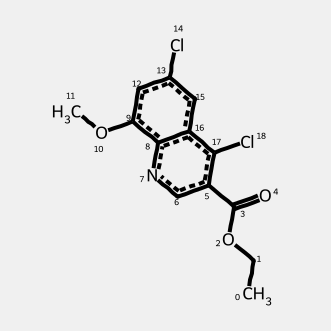 CCOC(=O)c1cnc2c(OC)cc(Cl)cc2c1Cl